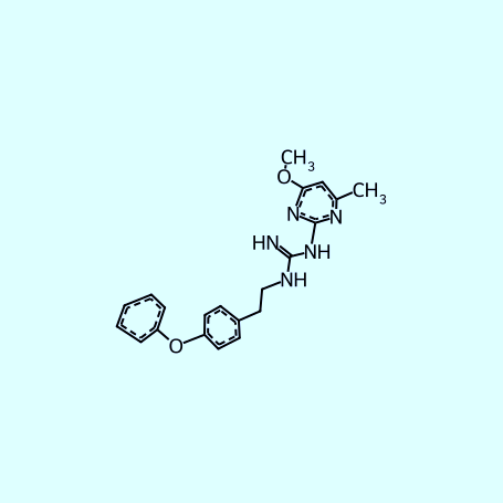 COc1cc(C)nc(NC(=N)NCCc2ccc(Oc3ccccc3)cc2)n1